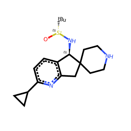 CC(C)(C)[S@@+]([O-])N[C@@H]1c2ccc(C3CC3)nc2CC12CCNCC2